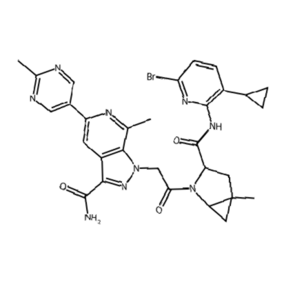 Cc1ncc(-c2cc3c(C(N)=O)nn(CC(=O)N4C(C(=O)Nc5nc(Br)ccc5C5CC5)CC5(C)CC45)c3c(C)n2)cn1